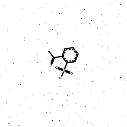 CC(=O)c1ccccc1S(=O)(=O)O